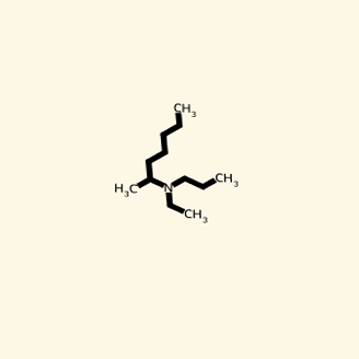 CCCCCC(C)N(CC)CCC